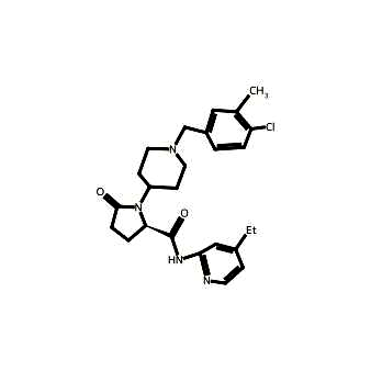 CCc1ccnc(NC(=O)[C@H]2CCC(=O)N2C2CCN(Cc3ccc(Cl)c(C)c3)CC2)c1